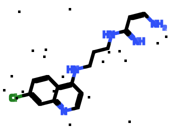 N=C(/C=C\N)NCCCNc1ccnc2cc(Cl)ccc12